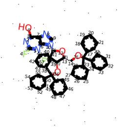 Oc1nc(F)nc2c1ncn2[C@@H]1O[C@H](COC(c2ccccc2)(c2ccccc2)c2ccccc2)[C@@H](OC(c2ccccc2)(c2ccccc2)c2ccccc2)[C@@H]1F